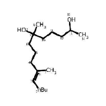 CCCC/C=C(\C)CCCC(C)(O)CCCC(C)O